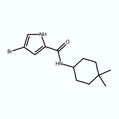 CC1(C)CCC(NC(=O)c2cc(Br)c[nH]2)CC1